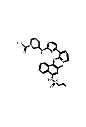 CCCS(=O)(=O)Nc1cc(C)c(Oc2ncccc2-c2ccnc(NC3CCCN(C(=O)O)C3)n2)c2ccccc12